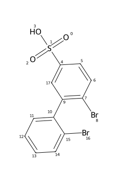 O=S(=O)(O)c1ccc(Br)c(-c2ccccc2Br)c1